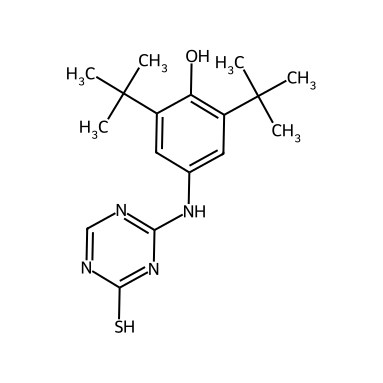 CC(C)(C)c1cc(Nc2ncnc(S)n2)cc(C(C)(C)C)c1O